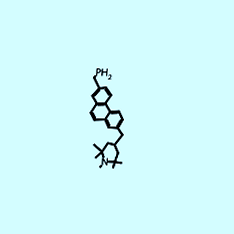 CN1C(C)(C)CC(Cc2ccc3c(ccc4cc(CP)ccc43)c2)CC1(C)C